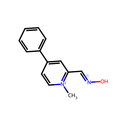 C[n+]1ccc(-c2ccccc2)cc1/C=N/O